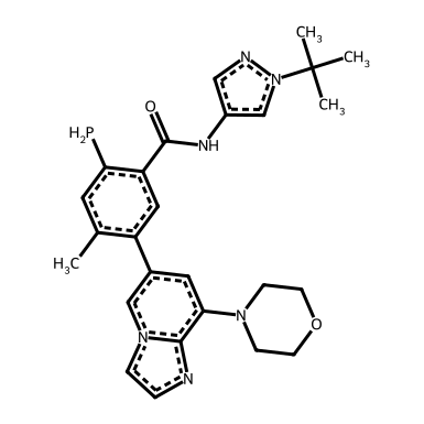 Cc1cc(P)c(C(=O)Nc2cnn(C(C)(C)C)c2)cc1-c1cc(N2CCOCC2)c2nccn2c1